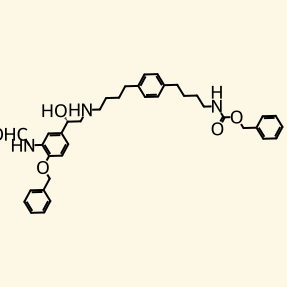 O=CNc1cc([C@H](O)CNCCCCc2ccc(CCCCNC(=O)OCc3ccccc3)cc2)ccc1OCc1ccccc1